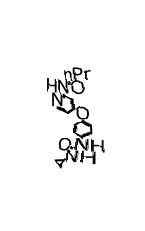 CCCC(=O)Nc1cc(Oc2ccc(NC(=O)NC3CC3)cc2)ccn1